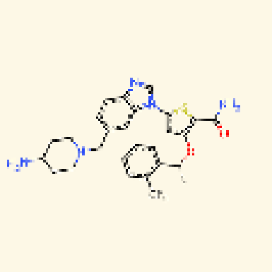 C[C@@H](Oc1cc(-n2cnc3ccc(CN4CCC(N)CC4)cc32)sc1C(N)=O)c1ccccc1C(F)(F)F